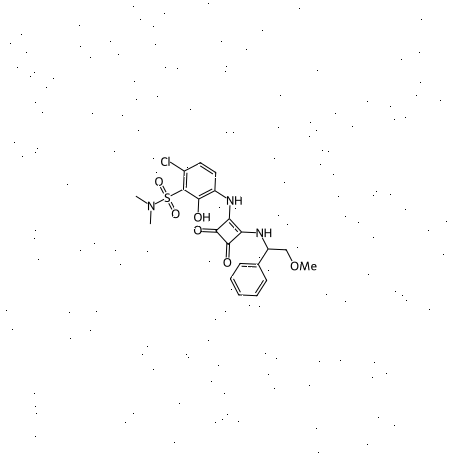 COCC(Nc1c(Nc2ccc(Cl)c(S(=O)(=O)N(C)C)c2O)c(=O)c1=O)c1ccccc1